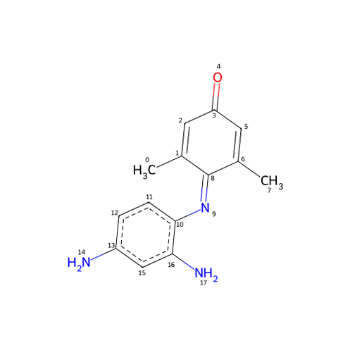 CC1=CC(=O)C=C(C)C1=Nc1ccc(N)cc1N